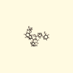 O=C(c1nnc(-c2ncccc2F)o1)N1CCc2[nH]cnc2C1c1cc2c(OC(F)(F)F)cccn2n1